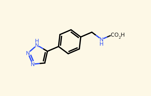 O=C(O)NCc1ccc(-c2cnn[nH]2)cc1